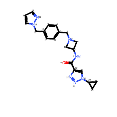 O=C(NC1CN(Cc2ccc(Cn3cccn3)cc2)C1)c1cn(C2CC2)nn1